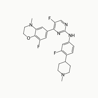 CN1CCC(c2ccc(Nc3ncc(F)c(-c4cc(F)c5c(c4)N(C)CCO5)n3)cc2F)CC1